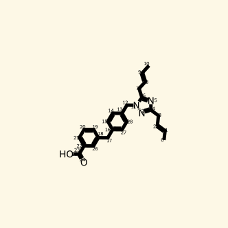 CC=CCc1nc(CC=CC)n(Cc2ccc(Cc3cccc(C(=O)O)c3)cc2)n1